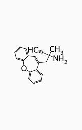 C#CC(C)(N)CC1=Cc2ccccc2Oc2ccccc21